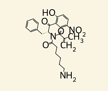 C=C(C)C(=O)N(C(=O)CCCCCN)[C@H](Cc1ccccc1)C(=O)c1cc([N+](=O)[O-])ccc1O